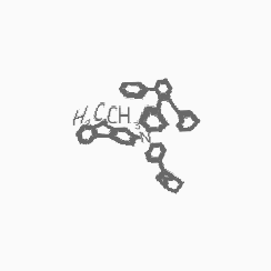 CC1(C)c2ccccc2-c2ccc(N(c3ccc(-c4c(-c5ccccc5)cccc4-c4ccccc4)cc3)c3ccc(C4CC5CCC4C5)cc3)cc21